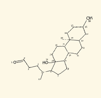 CC(CCC=O)C1CCC2C3CCC4CC(O)CCC4(C)C3CCC12O